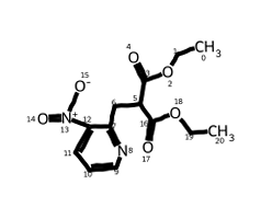 CCOC(=O)C(Cc1ncccc1[N+](=O)[O-])C(=O)OCC